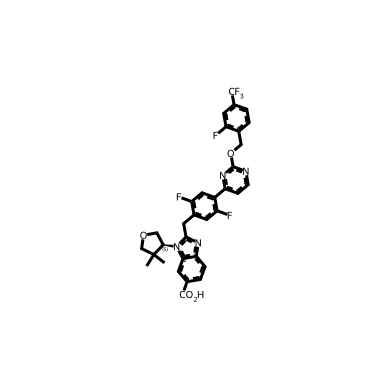 CC1(C)COC[C@H]1n1c(Cc2cc(F)c(-c3ccnc(OCc4ccc(C(F)(F)F)cc4F)n3)cc2F)nc2ccc(C(=O)O)cc21